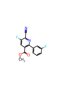 COC(=O)c1cc(F)c(C#N)nc1-c1cccc(F)c1